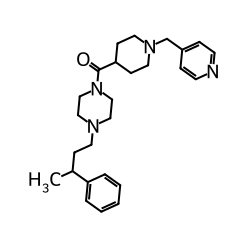 CC(CCN1CCN(C(=O)C2CCN(Cc3ccncc3)CC2)CC1)c1ccccc1